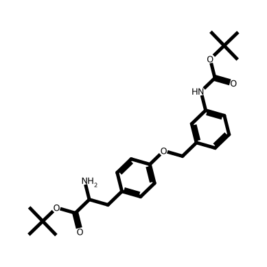 CC(C)(C)OC(=O)Nc1cccc(COc2ccc(CC(N)C(=O)OC(C)(C)C)cc2)c1